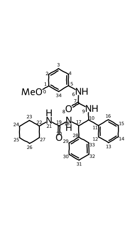 COc1cccc(NC(=O)NC(c2ccccc2)C(NC(=O)NC2CCCCC2)c2ccccc2)c1